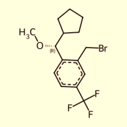 CO[C@@H](c1ccc(C(F)(F)F)cc1CBr)C1CCCC1